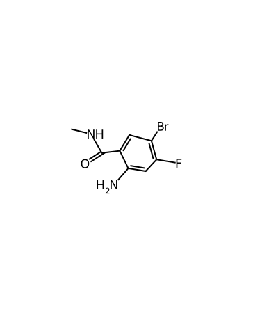 CNC(=O)c1cc(Br)c(F)cc1N